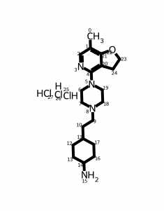 Cc1cnc(N2CCN(CCC3CCC(N)CC3)CC2)c2c1OCC2.Cl.Cl.Cl